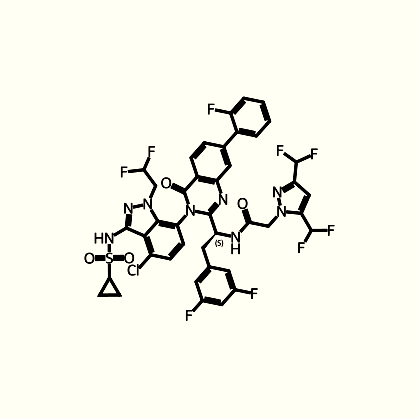 O=C(Cn1nc(C(F)F)cc1C(F)F)N[C@@H](Cc1cc(F)cc(F)c1)c1nc2cc(-c3ccccc3F)ccc2c(=O)n1-c1ccc(Cl)c2c(NS(=O)(=O)C3CC3)nn(CC(F)F)c12